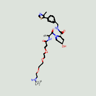 Cc1ncsc1-c1ccc(CNC(=O)[C@@H]2C[C@H](O)CN2C(=O)C(NC(=O)CCOCCOCCOCCNC(=O)O)C(C)(C)C)cc1